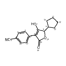 N#Cc1ccc(C2=C(O)C(C3CCCC3)OC2=O)cc1